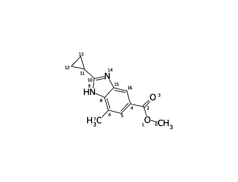 COC(=O)c1cc(C)c2[nH]c(C3CC3)nc2c1